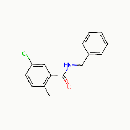 Cc1ccc(Cl)cc1C(=O)NCc1ccccc1